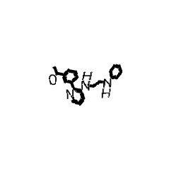 CC(=O)c1cccc(-c2ncccc2NCCNc2ccccc2)c1